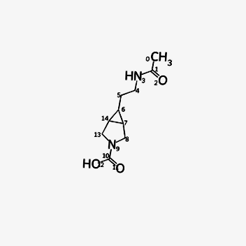 CC(=O)NCCC1C2CN(C(=O)O)CC12